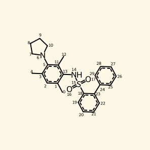 Cc1cc(C)c(N2CCCC2)c(C)c1NS(=O)(=O)c1ccccc1-c1ccccc1